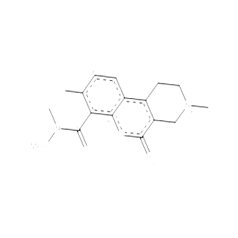 CON(C)C(=O)c1c(O)ccc2c3c(c(=O)oc12)CN(C)CC3